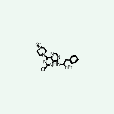 CCCC(Cc1ccccc1)Nc1ncnc2c(N3CC[S+]([O-])CC3)nc(Cl)nc12